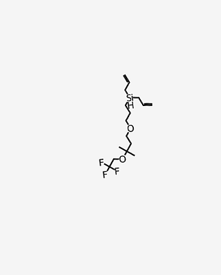 C=CC[SiH](CC=C)CCCOCCC(C)(C)OCC(F)(F)F